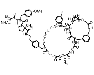 CC[C@H](NC(C)=O)C(=O)N[C@@H](Cc1ccc(OC)cc1)C(=O)N1CCC[C@@]1(C)C(=O)NCCc1ccc(CN2CCCCCCn3cc(c4cc(F)ccc43)C[C@@H]3NC(=O)[C@H](Cc4cccc(c4)CNC(=O)CO[C@H]4CCN(C3=O)[C@@H]4C)NC(=O)CNC(=O)[C@H](C)NC(=O)CCC2=O)cc1